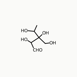 CC(O)C(O)(CO)C(O)C=O